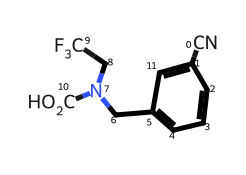 N#Cc1cccc(CN(CC(F)(F)F)C(=O)O)c1